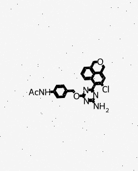 CC(=O)Nc1ccc(COc2nc(N)nc(-c3c(Cl)cc4c5c(cccc35)COC4)n2)cc1